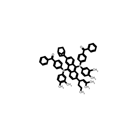 CCCC(C=C(C)C)c1ccc2c(N(c3ccc(C(=O)c4ccccc4)cc3)c3ccc(C)c(C)c3)c3cc(C4CC5CCC4C5)ccc3c(N(c3ccc(C(=O)c4ccccc4)cc3)c3ccc(C)c(C)c3)c2c1